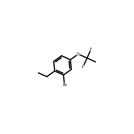 CCc1ccc(OC(C)(F)F)cc1Br